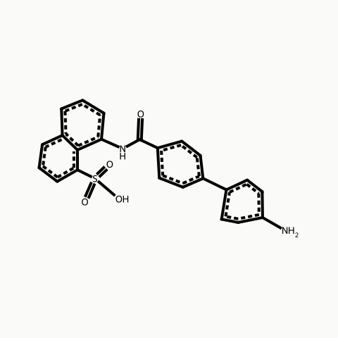 Nc1ccc(-c2ccc(C(=O)Nc3cccc4cccc(S(=O)(=O)O)c34)cc2)cc1